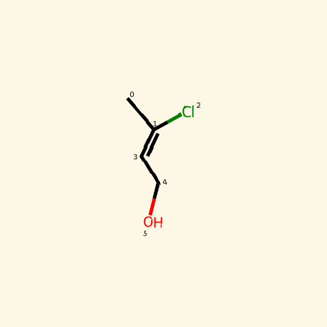 CC(Cl)=CCO